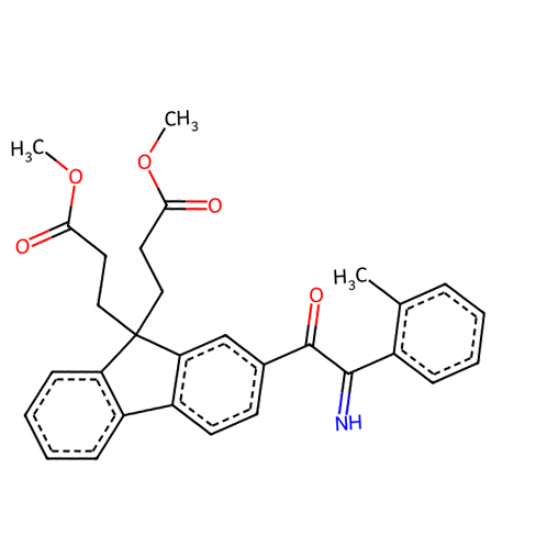 COC(=O)CCC1(CCC(=O)OC)c2ccccc2-c2ccc(C(=O)C(=N)c3ccccc3C)cc21